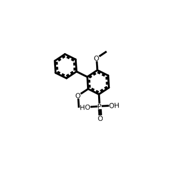 COc1ccc(P(=O)(O)O)c(OC)c1-c1ccccc1